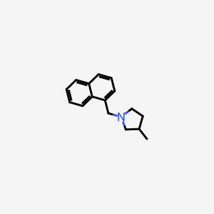 CC1CCN(Cc2cccc3ccccc23)C1